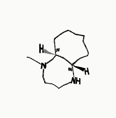 CN1CCN[C@H]2CCCC[C@@H]21